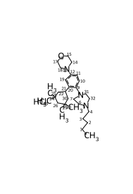 CCCCCN1CCN(c2ccc(N3CCOCC3)cc2C2CC(C)(C)CC(C)(C)C2)CC1.Cl